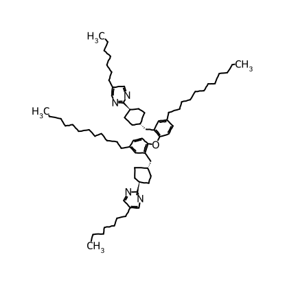 CCCCCCCCCCCCc1ccc(Oc2ccc(CCCCCCCCCCCC)cc2C[C@H]2CC[C@H](c3ncc(CCCCCCC)cn3)CC2)c(C[C@H]2CC[C@H](c3ncc(CCCCCCC)cn3)CC2)c1